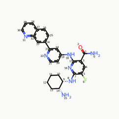 NC(=O)c1cc(F)c(N[C@H]2CCCC[C@H]2N)nc1Nc1ccnc(-c2ccc3cccnc3c2)c1